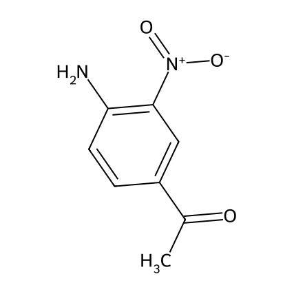 CC(=O)c1ccc(N)c([N+](=O)[O-])c1